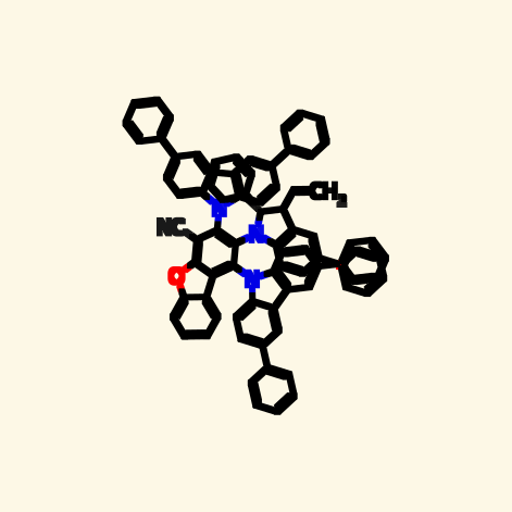 C=CC1c2cc(-c3ccccc3)ccc2N(c2c(-n3c4ccc(-c5ccccc5)cc4c4cc(-c5ccccc5)ccc43)c(C#N)c3oc4ccccc4c3c2-n2c3ccc(-c4ccccc4)cc3c3cc(-c4ccccc4)ccc32)[C@H]1C1C=CC=CC1